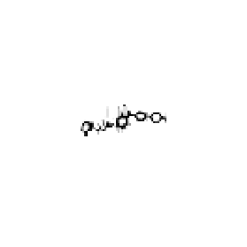 CN1CCN(c2ccc(-c3n[nH]c4cc(NC(=O)CC(=O)Nc5ccccc5F)ccc34)cc2)CC1